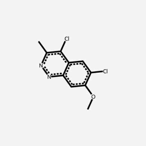 COc1cc2nnc(C)c(Cl)c2cc1Cl